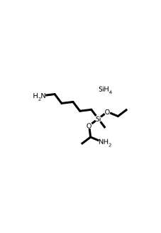 CCO[Si](C)(CCCCCN)OC(C)N.[SiH4]